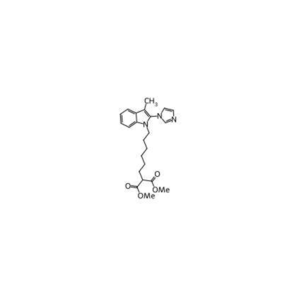 COC(=O)C(CCCCCCn1c(-n2ccnc2)c(C)c2ccccc21)C(=O)OC